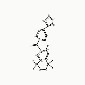 C=C(c1ccc(-c2nnn[nH]2)cc1)c1cc2c(cc1C)C(C)(C)CCC2(C)C